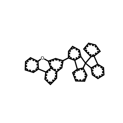 c1ccc2c(c1)Oc1cc(-c3cccc4c3-c3ccccc3C43c4ccccc4-c4ccccc43)cc3cccc-2c13